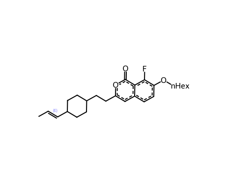 C/C=C/C1CCC(CCc2cc3ccc(OCCCCCC)c(F)c3c(=O)o2)CC1